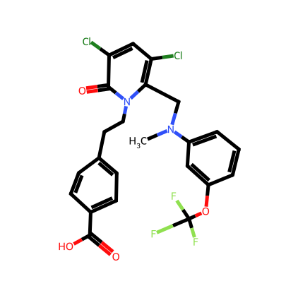 CN(Cc1c(Cl)cc(Cl)c(=O)n1CCc1ccc(C(=O)O)cc1)c1cccc(OC(F)(F)F)c1